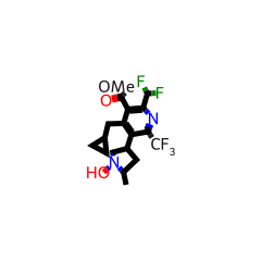 COC(=O)c1c(C(F)F)nc(C(F)(F)F)c(C2CC(C)N(O)C2)c1CC1CC1